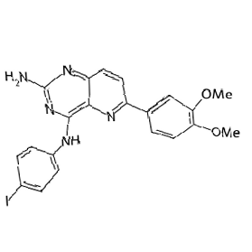 COc1ccc(-c2ccc3nc(N)nc(Nc4ccc(I)cc4)c3n2)cc1OC